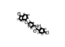 O=C(Nc1ccc(Oc2cccc3c2CCC3=O)nc1)c1ccc(Cl)cc1